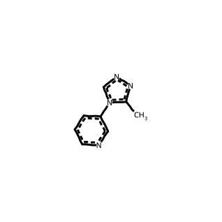 Cc1nncn1-c1cccnc1